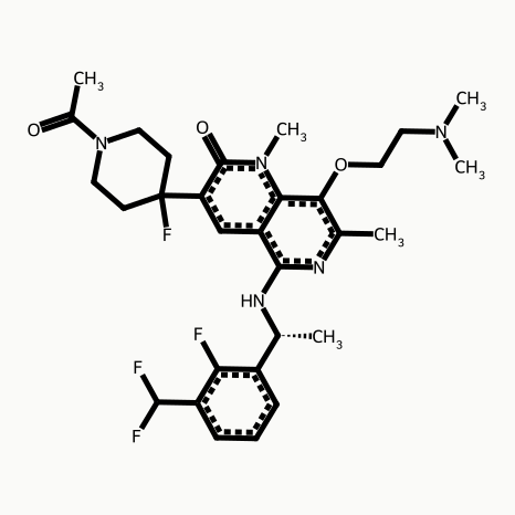 CC(=O)N1CCC(F)(c2cc3c(N[C@H](C)c4cccc(C(F)F)c4F)nc(C)c(OCCN(C)C)c3n(C)c2=O)CC1